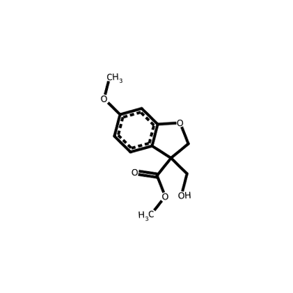 COC(=O)C1(CO)COc2cc(OC)ccc21